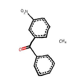 C.O=C(c1ccccc1)c1cccc([N+](=O)[O-])c1